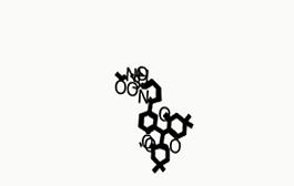 COc1ccc(-c2cccc(S(=O)(=O)NC(C)=O)n2)cc1C1C2=C(CC(C)(C)CC2=O)OC2=C1C(=O)CC(C)(C)C2